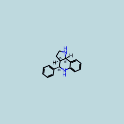 c1ccc([C@@H]2Nc3ccccc3[C@H]3NCC[C@@H]32)cc1